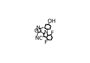 Cc1noc(C)c1-c1c(C#N)c2c(F)ccc(F)c2n1-c1ccc(O)cc1